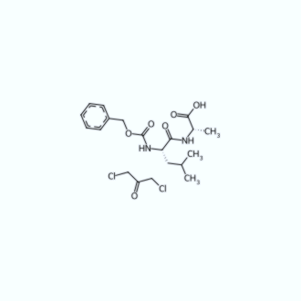 CC(C)C[C@H](NC(=O)OCc1ccccc1)C(=O)N[C@@H](C)C(=O)O.O=C(CCl)CCl